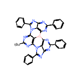 CC(C)(C)c1nc2c3c(n1)-n1c(-c4ccccc4)nc4nc(-c5ccccc5)nc(c41)B3c1nc(-c3ccccc3)nc3nc(-c4ccccc4)n-2c13